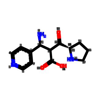 N[C@H](c1ccncc1)C(C(=O)O)C(=O)[C@@H]1CCCN1